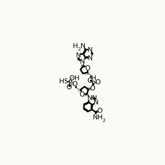 NC(=O)c1cccc2c1nnn2[C@@H]1O[C@H](CO[P@](=O)(O)S)C[C@H]1O[PH](=O)OC[C@@H]1CC[C@H](n2cnc3c(N)ncnc32)O1